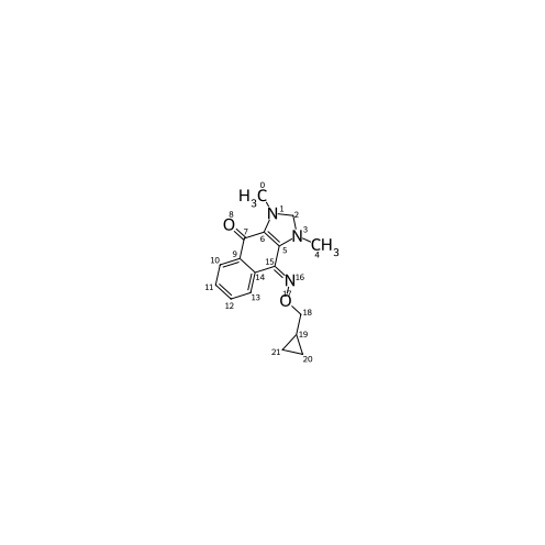 CN1CN(C)C2=C1C(=O)c1ccccc1C2=NOCC1CC1